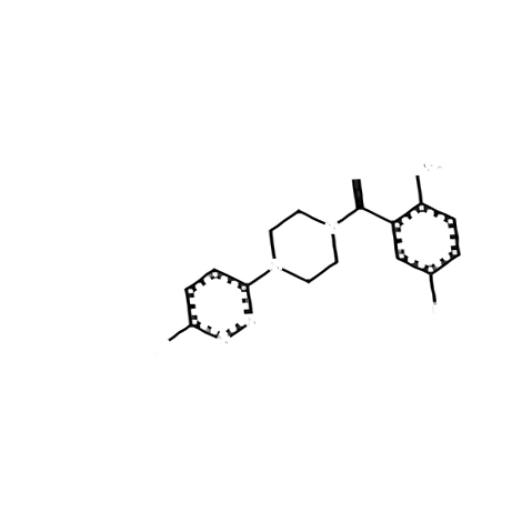 COc1ccc(F)cc1C(=O)N1CCN(c2ccc(C(=O)O)nn2)CC1